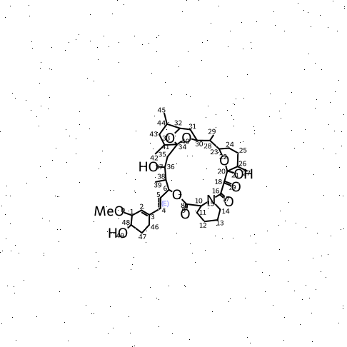 COC1C=C(/C=C/C2OC(=O)C3CCCCN3C(=O)C(=O)C3(O)OC(CCC3C)C(C)C3CC4OC(CC(O)C2C)(O3)C(C)CC4C)CCC1O